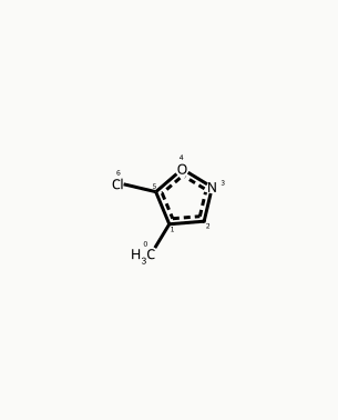 Cc1cnoc1Cl